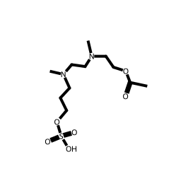 CC(=O)OCCN(C)CCN(C)CCCOS(=O)(=O)O